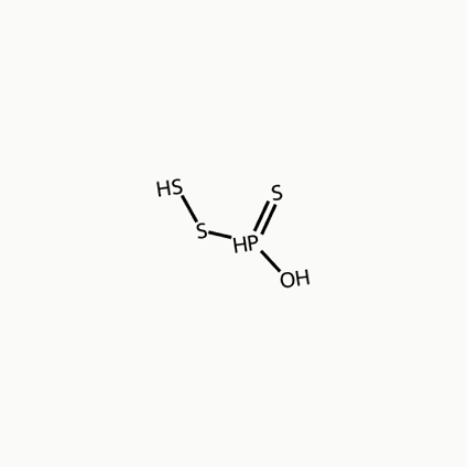 O[PH](=S)SS